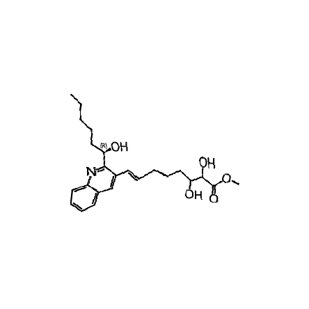 CCCCC[C@@H](O)c1nc2ccccc2cc1C=CCCCC(O)C(O)C(=O)OC